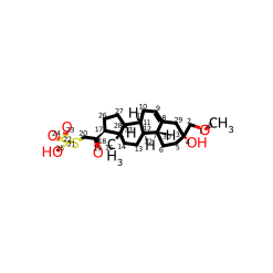 COC[C@]1(O)CC[C@H]2C(=CC[C@@H]3[C@@H]2CC[C@]2(C)[C@@H](C(=O)CSS(=O)(=O)O)CC[C@@H]32)C1